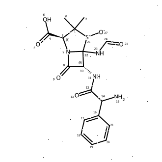 CC1(C)[C@H](C(=O)O)N2C(=O)[C@@H](NC(=O)C(N)c3ccccc3)C2(NC=O)[S+]1[O-]